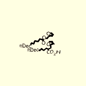 CCCCCCCCCCCCCCC(Cc1ccco1)C(=O)O.CCCCCCCCCCCCCCCC(=O)OCc1ccco1